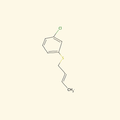 [CH2]/C=C/CSc1cccc(Cl)c1